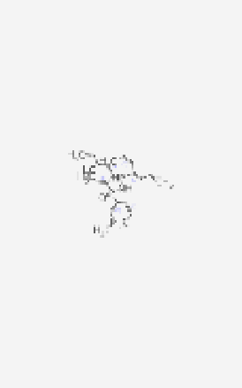 C=C/C=C(\C=C/C)PNP(=O)(C(/C=C\C(C)C=C)=C/C)C(/C=C\C)=C/C=C